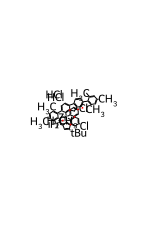 Cl.Cl.[CH2]=[Zr]([C]1=CC(C(C)(C)C)=CC1C(C)C)([c]1ccc(Cl)cc1)([c]1ccc(Cl)cc1)[c]1c(-c2c(C)cc(C)cc2C)ccc2c1Cc1cc(-c3c(C)cc(C)cc3C)ccc1-2